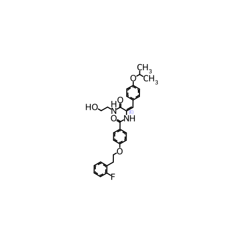 CC(C)Oc1ccc(/C=C(/NC(=O)c2ccc(OCCc3ccccc3F)cc2)C(=O)NCCO)cc1